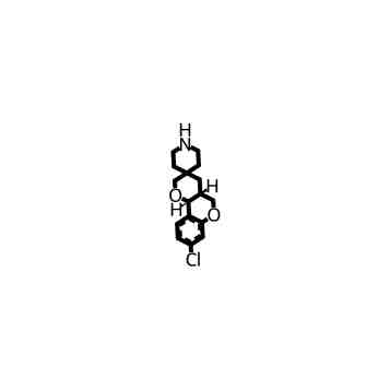 Clc1ccc2c(c1)OC[C@H]1CC3(CCNCC3)CO[C@H]21